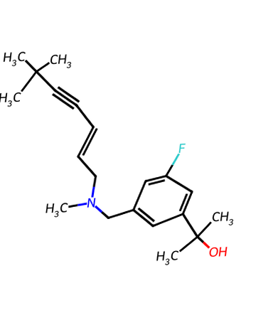 CN(CC=CC#CC(C)(C)C)Cc1cc(F)cc(C(C)(C)O)c1